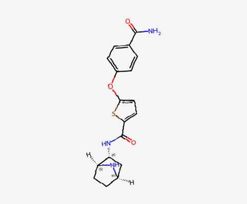 NC(=O)c1ccc(Oc2ccc(C(=O)N[C@@H]3C[C@H]4CC[C@@H]3N4)s2)cc1